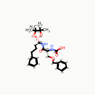 CC1(C)OB([C@H](CCCc2ccccc2)NC(=O)[C@@H](COCc2ccccc2)NC(=O)O)OC1(C)C